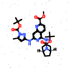 COC(=O)c1ccc2c(N[C@@H]3C[C@H]4CC[C@@H](C3)N4C(=O)OC(C)(C)C)nc(Nc3cc(C)n(C(=O)OC(C)(C)C)n3)cc2n1